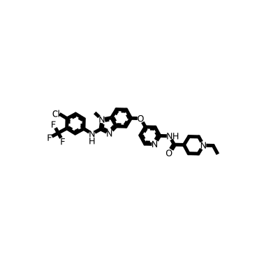 CCN1CCC(C(=O)Nc2cc(Oc3ccc4c(c3)nc(Nc3ccc(Cl)c(C(F)(F)F)c3)n4C)ccn2)CC1